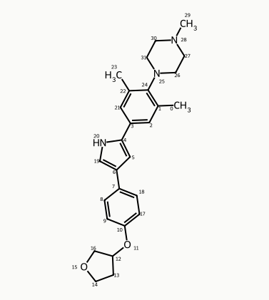 Cc1cc(-c2cc(-c3ccc(OC4CCOC4)cc3)c[nH]2)cc(C)c1N1CCN(C)CC1